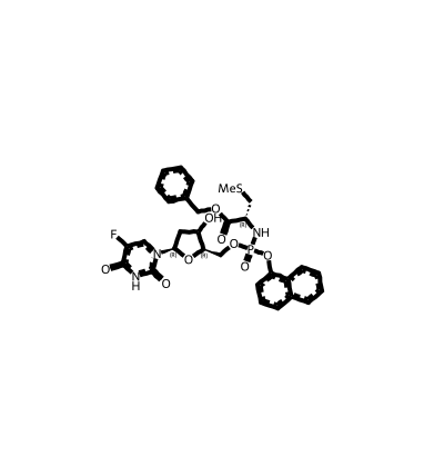 CSC[C@H](NP(=O)(OC[C@H]1O[C@@H](n2cc(F)c(=O)[nH]c2=O)CC1O)Oc1cccc2ccccc12)C(=O)OCc1ccccc1